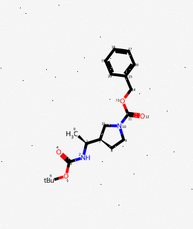 C[C@H](NC(=O)OC(C)(C)C)[C@@H]1CCN(C(=O)OCc2ccccc2)C1